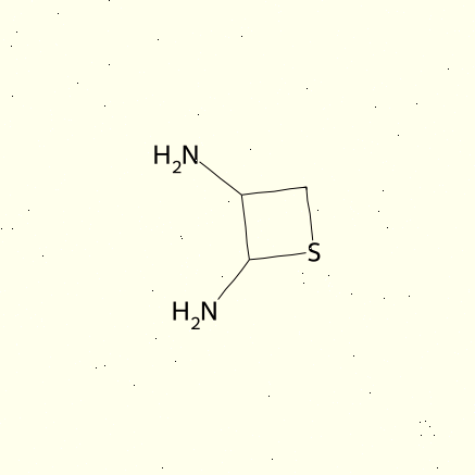 NC1CSC1N